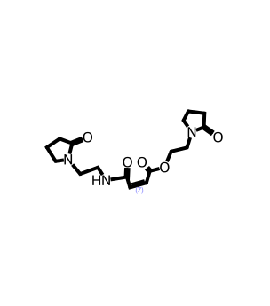 O=C(/C=C\C(=O)OCCN1CCCC1=O)NCCN1CCCC1=O